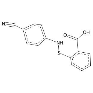 N#Cc1ccc(NSc2ccccc2C(=O)O)cc1